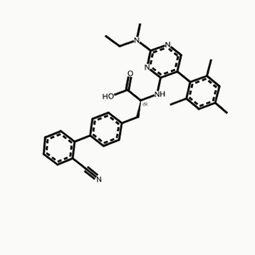 CCN(C)c1ncc(-c2c(C)cc(C)cc2C)c(N[C@@H](Cc2ccc(-c3ccccc3C#N)cc2)C(=O)O)n1